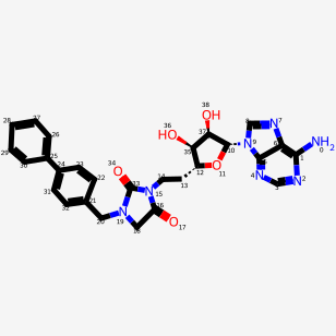 Nc1ncnc2c1ncn2[C@@H]1O[C@H](CCN2C(=O)CN(Cc3ccc(-c4ccccc4)cc3)C2=O)[C@@H](O)[C@H]1O